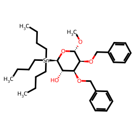 CCC[CH2][Sn]([CH2]CCC)([CH2]CCC)[C@H]1O[C@H](OC)[C@@H](OCc2ccccc2)[C@@H](OCc2ccccc2)[C@@H]1O